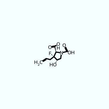 C=CC[C@]1(F)[C@@H](O)CN(C(=O)O)[C@@H]1C(=O)O